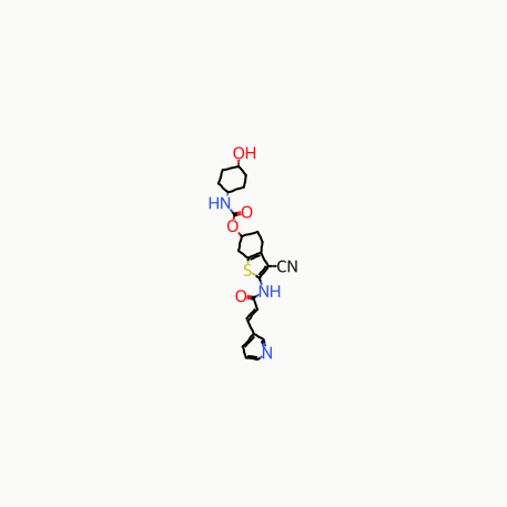 N#Cc1c(NC(=O)C=Cc2cccnc2)sc2c1CCC(OC(=O)N[C@H]1CC[C@H](O)CC1)C2